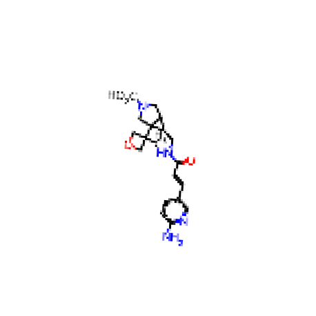 CC1(C23CN(C(=O)O)CC2C3CNC(=O)/C=C/c2ccc(N)nc2)COC1